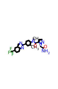 Cc1cc(-c2ncc3cc(C(F)(F)F)ccc3n2)ccc1N(C)C(=O)c1ccnn1CC(N)=O